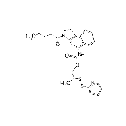 CCCCC(=O)N1CCc2c1cc(NC(=O)OCC(C)SSc1ccccn1)c1ccccc21